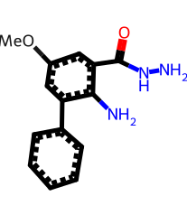 COc1cc(C(=O)NN)c(N)c(-c2ccccc2)c1